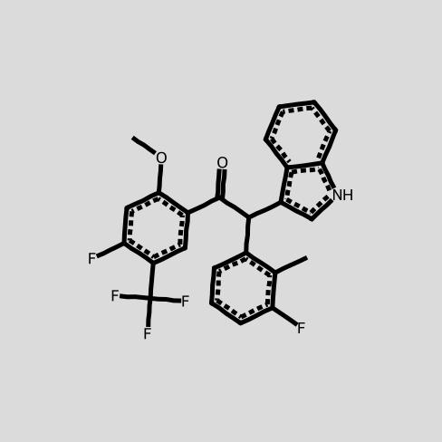 COc1cc(F)c(C(F)(F)F)cc1C(=O)C(c1cccc(F)c1C)c1c[nH]c2ccccc12